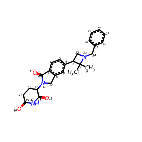 CC1(C)C(c2ccc3c(c2)CN(C2CCC(=O)NC2=O)C3=O)CN1Cc1ccccc1